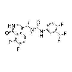 CC(c1c[nH]c(=O)c2c(F)c(F)ccc12)N(C)C(=O)Nc1ccc(F)c(C(F)F)c1